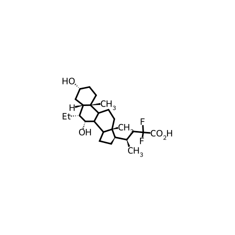 CC[C@H]1[C@@H](O)C2C3CC[C@H]([C@H](C)CC(F)(F)C(=O)O)[C@@]3(C)CCC2[C@@]2(C)CC[C@@H](O)C[C@@H]12